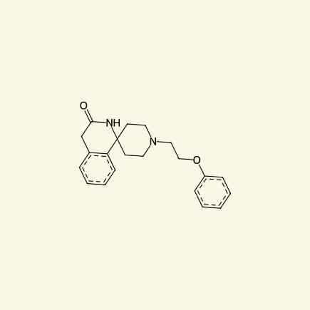 O=C1Cc2ccccc2C2(CCN(CCOc3ccccc3)CC2)N1